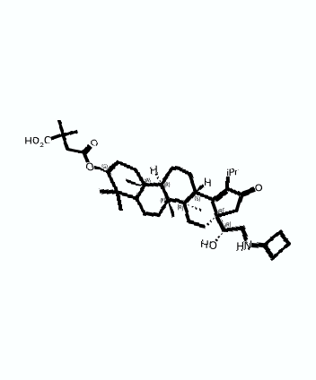 CC(C)C1=C2[C@H]3CC[C@@H]4[C@@]5(C)CC[C@H](OC(=O)CC(C)(C)C(=O)O)C(C)(C)C5CC[C@@]4(C)[C@]3(C)CC[C@@]2([C@@H](O)CNC2CCC2)CC1=O